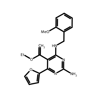 C=C(OCC)c1c(NCc2ccccc2OC)nc(N)nc1-c1ccco1